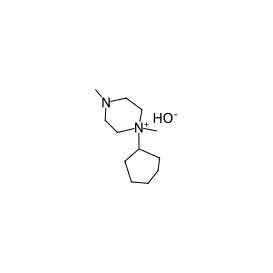 CN1CC[N+](C)(C2CCCCC2)CC1.[OH-]